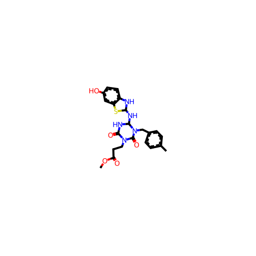 COC(=O)CCN1C(=O)NC(NC2Nc3ccc(O)cc3S2)N(Cc2ccc(C)cc2)C1=O